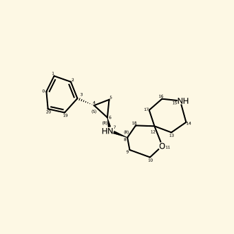 c1ccc([C@@H]2C[C@H]2N[C@@H]2CCOC3(CCNCC3)C2)cc1